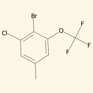 Cc1cc(Cl)c(Br)c(OC(F)(F)F)c1